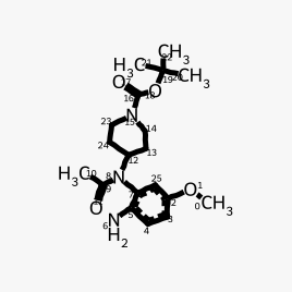 COc1ccc(N)c(N(C(C)=O)C2CCN(C(=O)OC(C)(C)C)CC2)c1